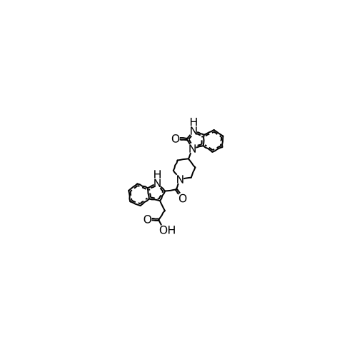 O=C(O)Cc1c(C(=O)N2CCC(n3c(=O)[nH]c4ccccc43)CC2)[nH]c2ccccc12